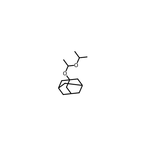 CC(C)OC(C)OC12CC3CC(CC(C3)C1)C2